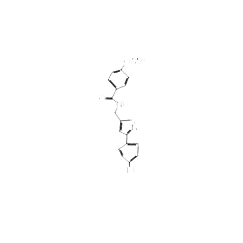 CCc1ccc(-c2cc(CNC(=O)c3ccc(OC)cc3)on2)cc1